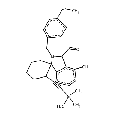 COc1ccc(CN2C(C=O)c3c(C)cccc3C23CCCCC3C#C[Si](C)(C)C)cc1